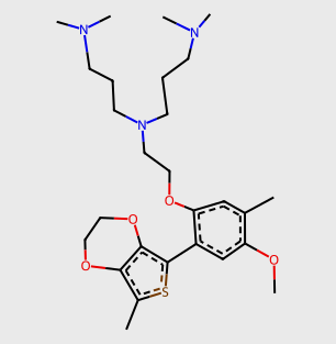 COc1cc(-c2sc(C)c3c2OCCO3)c(OCCN(CCCN(C)C)CCCN(C)C)cc1C